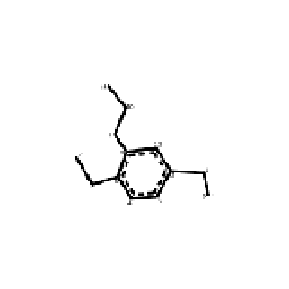 [CH2]Cc1ccc(CC)c(CCC)c1